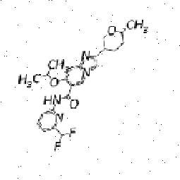 CC(C)Oc1cc2nc(C3CCC(C)OC3)cn2cc1C(=O)Nc1cccc(C(F)F)n1